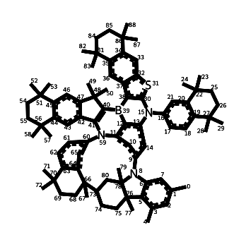 Cc1cc(C)c2c(c1)N1c3cc4c5c(c3)N(c3ccc6c(c3)C(C)(C)CCC6(C)C)c3sc6cc7c(cc6c3B5C3=C(c5cc6c(cc5C3(C)C)C(C)(C)CCC6(C)C)N4c3ccc4c(c3)C(C)(CCC4(C)C)C3CCC2(C)C1(C)C3)C(C)(C)CCC7(C)C